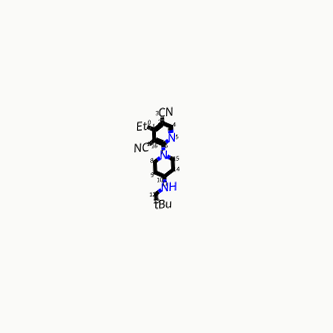 CCc1c(C#N)cnc(N2CCC(NCC(C)(C)C)CC2)c1C#N